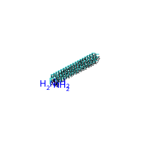 N[Si](N)(N)C(F)(F)C(F)(F)C(F)(F)C(F)(F)C(F)(F)C(F)(F)C(F)(F)C(F)(F)C(F)(F)C(F)(F)C(F)(F)C(F)(F)C(F)(F)C(F)(F)C(F)(F)C(F)(F)C(F)(F)C(F)(F)F